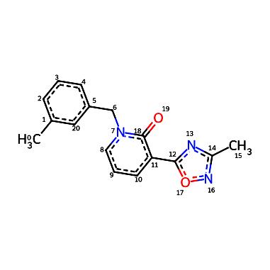 Cc1cccc(Cn2cccc(-c3nc(C)no3)c2=O)c1